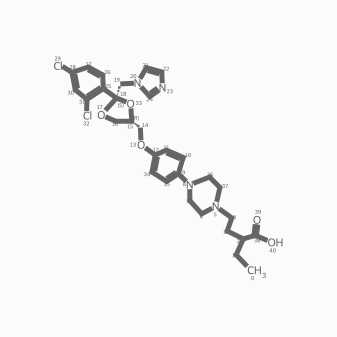 CCC(CCN1CCN(c2ccc(OC[C@@H]3CO[C@@](Cn4ccnc4)(c4ccc(Cl)cc4Cl)O3)cc2)CC1)C(=O)O